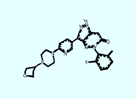 Cc1cccc(F)c1-n1nc2c(-c3ccc(N4CCN(C5COC5)CC4)nc3)n[nH]c2cc1=O